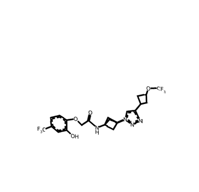 O=C(COc1ccc(C(F)(F)F)cc1O)NC12CC(n3cc(C4CC(OC(F)(F)F)C4)nn3)(C1)C2